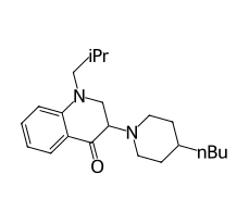 CCCCC1CCN(C2CN(CC(C)C)c3ccccc3C2=O)CC1